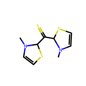 CN1C=CSC1C(=S)C1SC=CN1C